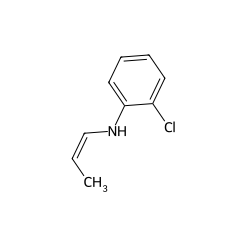 C/C=C\Nc1ccccc1Cl